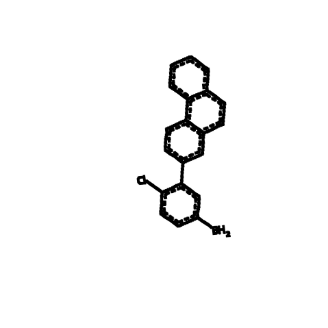 Bc1ccc(Cl)c(-c2ccc3c(ccc4ccccc43)c2)c1